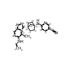 C=CNc1ncc2nnc([C@]34CC[C@](Nc5ccc(C#N)cn5)(CC3)C4)n2c1C